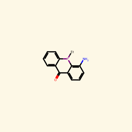 CCp1c2ccccc2c(=O)c2cccc(N)c21